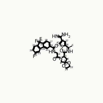 C[C@@H](NC(=O)C1CC2(CN1C(=O)CNC(=O)c1ccc3c(c1)-c1cc(F)ccc1C3(F)F)OCCO2)c1cc(C(=N)N)cs1